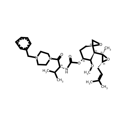 COC1[C@H](OC(=O)N[C@@H](C(=O)N2CCN(Cc3ccccc3)CC2)C(C)C)CC[C@]2(CO2)[C@H]1[C@@]1(C)O[C@@H]1CC=C(C)C